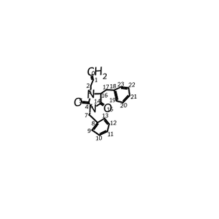 C=CCN1C(=O)N(Cc2ccccc2)C(=O)C1Cc1ccccc1